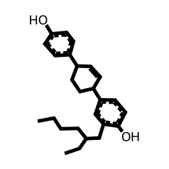 CCCCC(CC)Cc1cc(C2C=CC(c3ccc(O)cc3)CC2)ccc1O